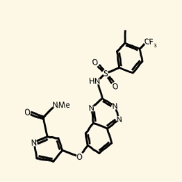 CNC(=O)c1cc(Oc2ccc3nnc(NS(=O)(=O)c4ccc(C(F)(F)F)c(C)c4)nc3c2)ccn1